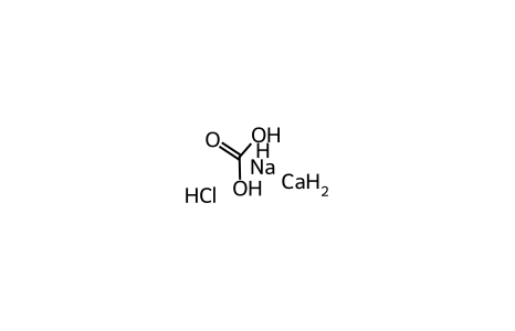 Cl.O=C(O)O.[CaH2].[NaH]